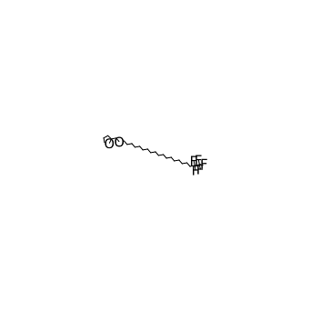 FC(F)(F)C(F)(F)CCCCCCCCCCCCCCCCCCOCC1CCCO1